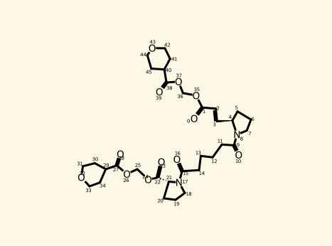 O=C(/C=C/[C@H]1CCCN1C(=O)CCCCC(=O)N1CCC[C@@H]1C(=O)OCOC(=O)C1CCOCC1)OCOC(=O)C1CCOCC1